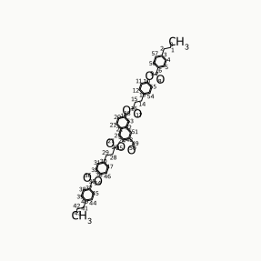 CCCc1ccc(C(=O)Oc2ccc(CCC(=O)Oc3ccc4cc(OC(=O)CCc5ccc(OC(=O)c6ccc(CCC)cc6)cc5)c(C=O)cc4c3)cc2)cc1